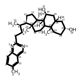 Cc1ccc2nc(CC[C@@H](C)[C@H]3CC[C@H]4[C@H]5C(CC[C@]34C)[C@@]3(C)CC[C@@H](O)C[C@H]3C[C@@H]5O)ncc2c1